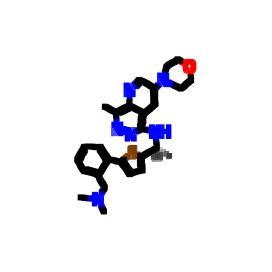 Cc1nnc(N[C@H](C)c2ccc(-c3ccccc3CN(C)C)s2)c2cc(N3CCOCC3)cnc12